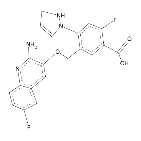 Nc1nc2ccc(F)cc2cc1OCc1cc(C(=O)O)c(F)cc1N1C=CCN1